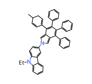 CCn1c2ccccc2c2cc(-n3cc4c(C5=CCC(C)C=C5)c(-c5ccccc5)c(-c5ccccc5)c(-c5ccccc5)c4c3)ccc21